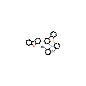 CC(C)(C)c1ccccc1N1c2cc(-c3ccc4c(c3)oc3ccccc34)cc3c2B(c2ccccc2-3)c2cccc(C(C)(C)C)c21